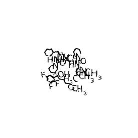 CNC[C@H](CC(C)C)NC(=O)N1CCCCC1.CNC[C@H](CC1CCCCC1)NC(=O)N1CCC[C@@H](C(O)(CCCCOC)c2cc(F)cc(F)c2F)C1